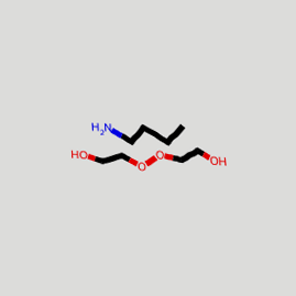 CCCCN.OCCOOCCO